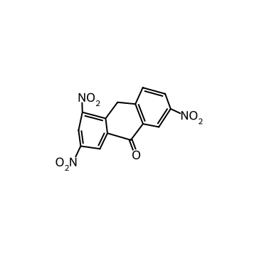 O=C1c2cc([N+](=O)[O-])ccc2Cc2c1cc([N+](=O)[O-])cc2[N+](=O)[O-]